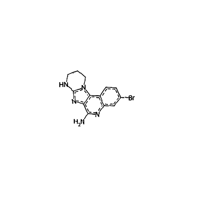 Nc1nc2cc(Br)ccc2c2c1nc1n2CCCN1